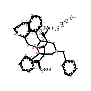 COC(=O)C12CN(Cc3ccccn3)CC(C(=O)OC)(C1=O)C(c1ccccn1)N(Cc1ccccn1)C2c1ccccn1.O.[Cl-].[Cl-].[Fe+2]